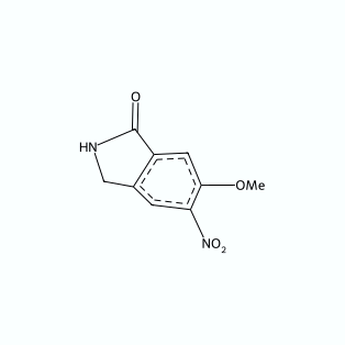 COc1cc2c(cc1[N+](=O)[O-])CNC2=O